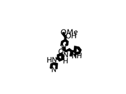 COCC(O)C1CCN(C(=O)C(Cc2c[nH]c3ccccc23)Nc2ccc(Nc3ccncc3)cc2)CC1